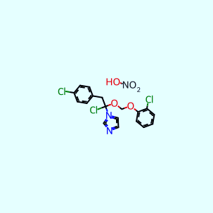 Clc1ccc(CC(Cl)(OCOc2ccccc2Cl)n2ccnc2)cc1.O=[N+]([O-])O